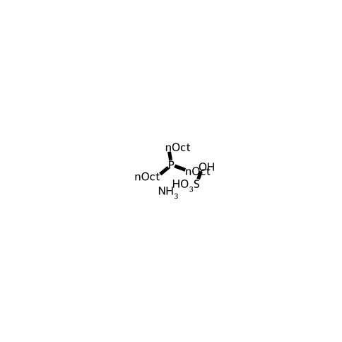 CCCCCCCCP(CCCCCCCC)CCCCCCCC.N.O=S(=O)(O)O